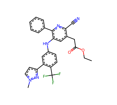 CCOC(=O)Cc1cc(Nc2ccc(C(F)(F)F)c(-c3ccn(C)n3)c2)c(-c2ccccc2)nc1C#N